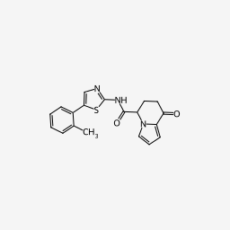 Cc1ccccc1-c1cnc(NC(=O)C2CCC(=O)c3cccn32)s1